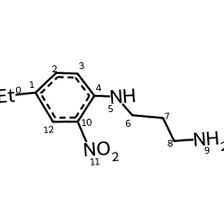 CCc1ccc(NCCCN)c([N+](=O)[O-])c1